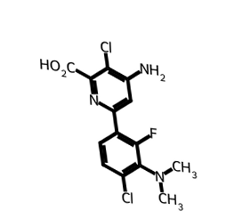 CN(C)c1c(Cl)ccc(-c2cc(N)c(Cl)c(C(=O)O)n2)c1F